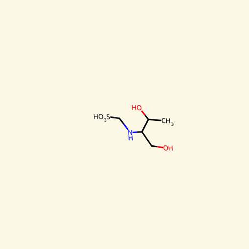 CC(O)C(CO)NCS(=O)(=O)O